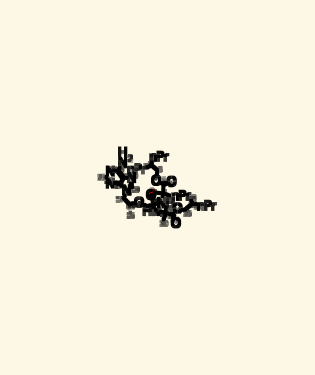 CCCC(CCC)COC(=O)C(C)(C)NP(=O)(CO[C@H](C)Cn1cnc2c(N)ncnc21)NC(C)(C)C(=O)OCC(CCC)CCC